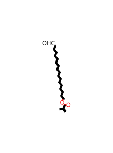 C=C(C)C(=O)OCCCCCCCCCCCCCCCCCC=O